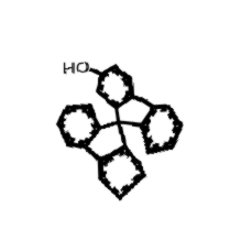 Oc1ccc2c(c1)C1(c3ccccc3-c3ccccc31)c1ccccc1-2